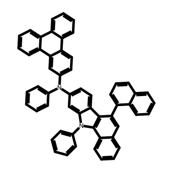 c1ccc(N(c2ccc3c4ccccc4c4ccccc4c3c2)c2ccc3c4c(-c5cccc6ccccc56)cc5ccccc5c4n(-c4ccccc4)c3c2)cc1